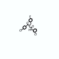 O=C(CN(Cc1ccc(F)cc1)C(=O)c1ccc(Cl)cc1)Nc1cccc(Cl)c1